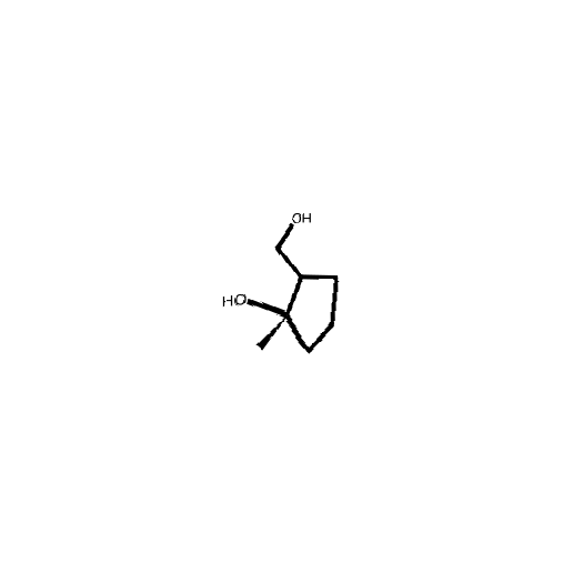 C[C@]1(O)CCCC1CO